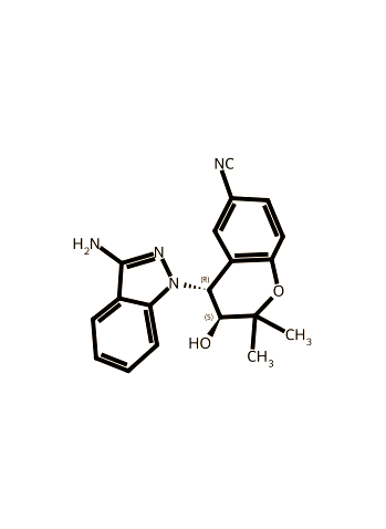 [C-]#[N+]c1ccc2c(c1)[C@@H](n1nc(N)c3ccccc31)[C@H](O)C(C)(C)O2